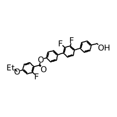 CCOc1ccc(C(=O)Oc2ccc(-c3ccc(-c4ccc(CO)cc4)c(F)c3F)cc2)c(F)c1